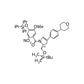 COc1cc(C(=O)N2C=C(c3ccc(C4CCOCC4)cc3)C[C@H]2CO[Si](C)(C)C(C)(C)C)c([N+](=O)[O-])cc1O[Si](C(C)C)(C(C)C)C(C)C